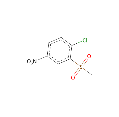 CS(=O)(=O)c1cc([N+](=O)[O-])ccc1Cl